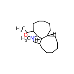 CC(=O)C1CCCCC[C@@H]2CCCCCCC3CN(C)C1[C@@H]32